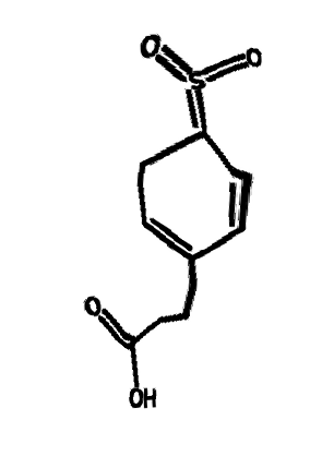 O=C(O)CC1=CCC(=S(=O)=O)C=C1